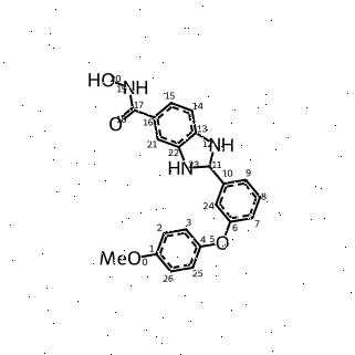 COc1ccc(Oc2cccc(C3Nc4ccc(C(=O)NO)cc4N3)c2)cc1